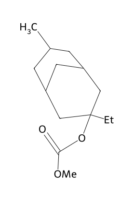 CCC1(OC(=O)OC)CC2CC(C)CC(C2)C1